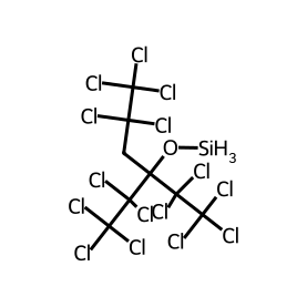 [SiH3]OC(CC(Cl)(Cl)C(Cl)(Cl)Cl)(C(Cl)(Cl)C(Cl)(Cl)Cl)C(Cl)(Cl)C(Cl)(Cl)Cl